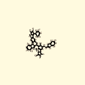 CC1=C(C)C(C)=C2C1=Nc1c2cc(CCC2=Cc3ccccc3C2)c(C)c1C(Cc1cc2c(cc1C)N=C1C(C)=C(C)C(c3ccccc3)=C12)C1=Cc2ccccc2C1